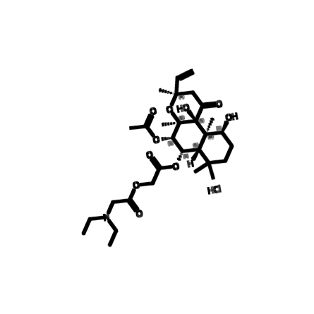 C=C[C@@]1(C)CC(=O)[C@]2(O)[C@@]3(C)[C@@H](O)CCC(C)(C)[C@@H]3[C@H](OC(=O)COC(=O)CN(CC)CC)[C@H](OC(C)=O)[C@@]2(C)O1.Cl